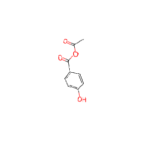 CC(=O)OC(=O)c1ccc(O)cc1